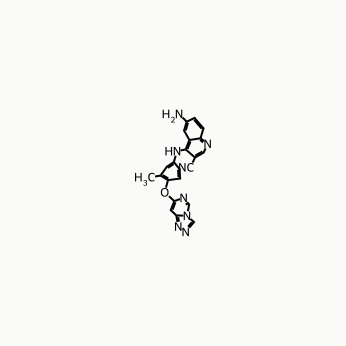 Cc1cc(Nc2c(C#N)cnc3ccc(N)cc23)ccc1Oc1cc2nncn2cn1